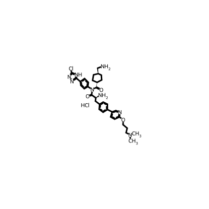 CN(C)CCCOc1ccc(-c2ccc(C[C@H](N)C(=O)N(c3ccc(-c4nnc(Cl)[nH]4)cc3)C(=O)[C@H]3CC[C@H](CN)CC3)cc2)cn1.Cl